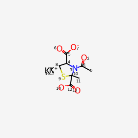 CC(=O)N1C(C(=O)[O-])CSC1(C)C(=O)[O-].[K+].[K+]